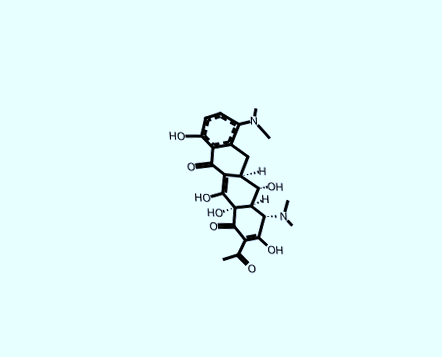 CC(=O)C1=C(O)[C@@H](N(C)C)[C@@H]2[C@@H](O)[C@@H]3Cc4c(N(C)C)ccc(O)c4C(=O)C3=C(O)[C@]2(O)C1=O